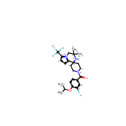 CC(C)Oc1ccc(C(=O)N2CCC3(CC2)NC(C)(C)Cn2c(C(F)(F)F)ccc23)cc1F